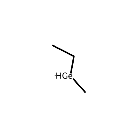 C[CH2][GeH][CH3]